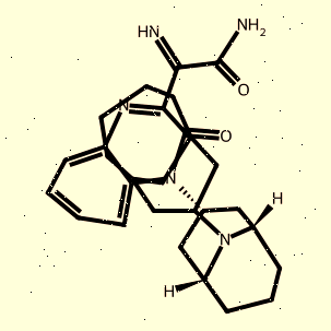 N=C(C(N)=O)c1nc2ccccc2n([C@H]2C[C@H]3CCC[C@@H](C2)N3C2CC3CCCCC(C3)C2)c1=O